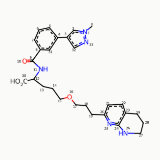 Cn1cc(-c2cccc(C(=O)NC(CCCOCCCc3ccc4c(n3)NCCC4)C(=O)O)c2)cn1